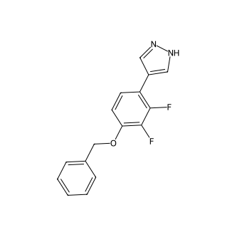 Fc1c(OCc2ccccc2)ccc(-c2cn[nH]c2)c1F